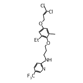 CCc1cc(OCC=C(Cl)Cl)cc(C)c1OCCCNc1ccc(C(F)(F)F)cn1